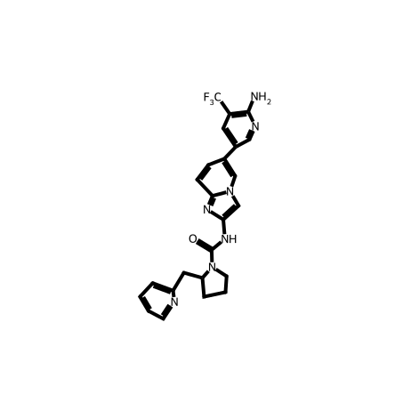 Nc1ncc(-c2ccc3nc(NC(=O)N4CCCC4Cc4ccccn4)cn3c2)cc1C(F)(F)F